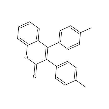 Cc1ccc(-c2c(-c3ccc(C)cc3)c3ccccc3oc2=O)cc1